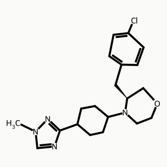 Cn1cnc(C2CCC(N3CCOC[C@@H]3Cc3ccc(Cl)cc3)CC2)n1